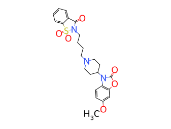 COc1ccc2c(c1)oc(=O)n2C1CCN(CCCCN2C(=O)c3ccccc3S2(=O)=O)CC1